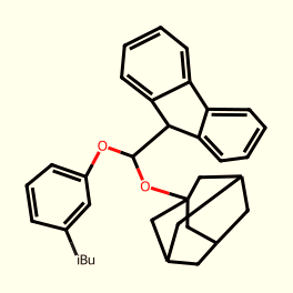 CCC(C)c1cccc(OC(OC23CC4CC(CC(C4)C2)C3)C2c3ccccc3-c3ccccc32)c1